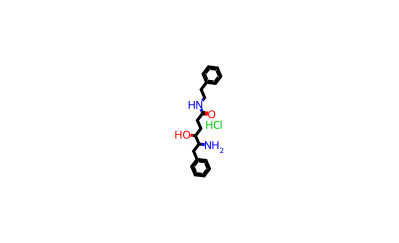 Cl.NC(Cc1ccccc1)C(O)CCC(=O)NCCc1ccccc1